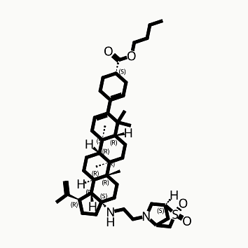 C=C(C)[C@@H]1CC[C@]2(NCCN3C[C@@H]4CC3CS4(=O)=O)CC[C@]3(C)[C@H](CC[C@@H]4[C@@]5(C)CC=C(C6=CC[C@@H](C(=O)OCCCC)CC6)C(C)(C)[C@@H]5CC[C@]43C)[C@@H]12